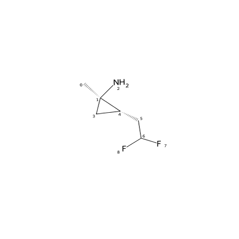 C[C@@]1(N)C[C@H]1CC(F)F